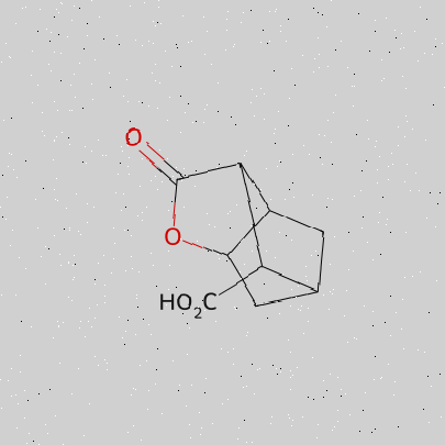 O=C(O)C1C2CC3OC(=O)C1C3C2